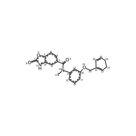 O=C(c1ccc2oc(=O)[nH]c2c1)N(I)c1cccc(OCC2=CCCC=C2)c1